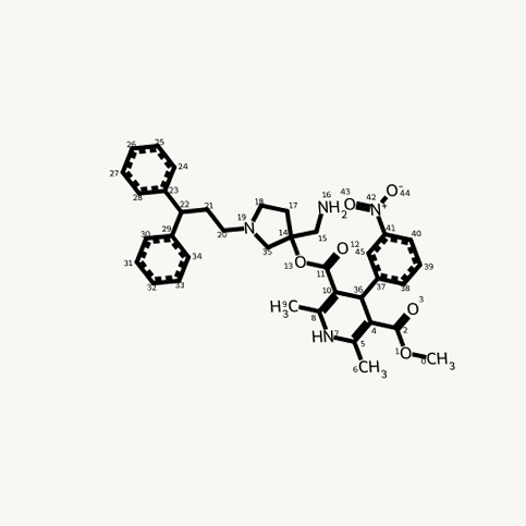 COC(=O)C1=C(C)NC(C)=C(C(=O)OC2(CN)CCN(CCC(c3ccccc3)c3ccccc3)C2)C1c1cccc([N+](=O)[O-])c1